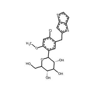 COc1cc(Cl)c(Cc2cc3sccc3s2)cc1C1OC(CO)[C@@H](O)C(O)[C@H]1O